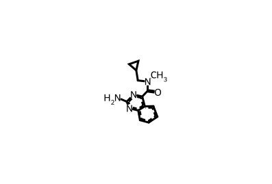 CN(CC1CC1)C(=O)c1nc(N)nc2ccccc12